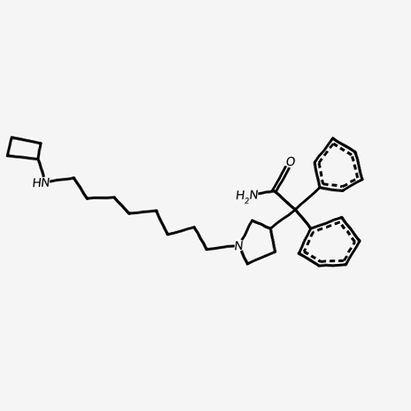 NC(=O)C(c1ccccc1)(c1ccccc1)C1CCN(CCCCCCCCNC2CCC2)C1